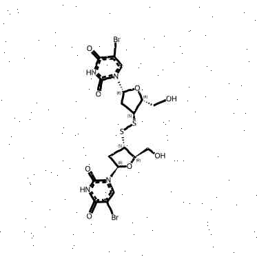 O=c1[nH]c(=O)n([C@H]2C[C@H](SS[C@H]3C[C@H](n4cc(Br)c(=O)[nH]c4=O)O[C@@H]3CO)[C@@H](CO)O2)cc1Br